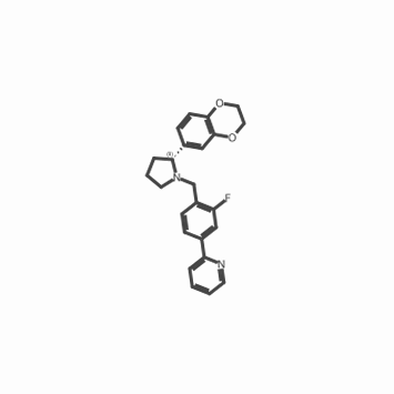 Fc1cc(-c2ccccn2)ccc1CN1CCC[C@@H]1c1ccc2c(c1)OCCO2